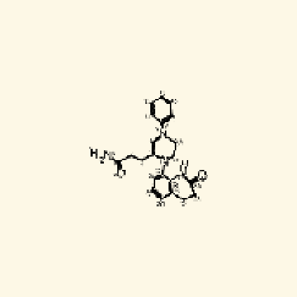 NC(=O)CCC1CN(c2ccccc2)CCN1c1cccc2c1NC(=O)CC2